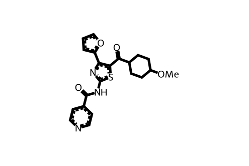 COC1CCC(C(=O)c2sc(NC(=O)c3ccncc3)nc2-c2ccco2)CC1